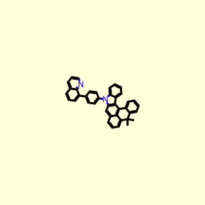 CC1(C)c2ccccc2-c2c3c1cccc3cc1c2c2ccccc2n1-c1ccc(-c2cccc3cccnc23)cc1